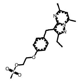 CCc1nn2c(C)cc(C)nc2c1Cc1ccc(OCCOS(C)(=O)=O)cc1